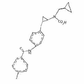 Cc1ccc(C(=O)Nc2ccc(C3CC3N(CC3CC3)C(=O)O)cc2)cc1